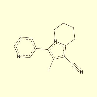 N#Cc1c(I)c(-c2cccnc2)n2c1CCCC2